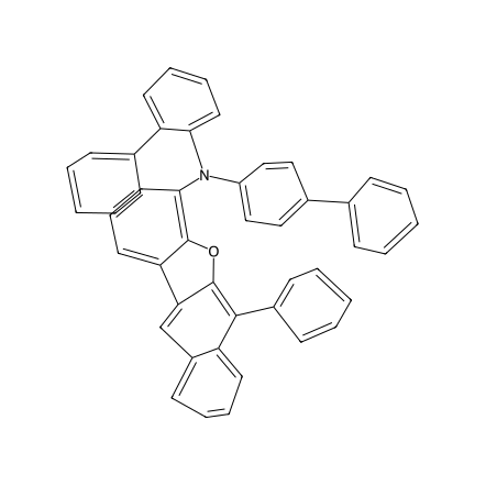 c1ccc(-c2ccc(N(c3ccccc3-c3ccccc3)c3cccc4c3oc3c(-c5ccccc5)c5ccccc5cc34)cc2)cc1